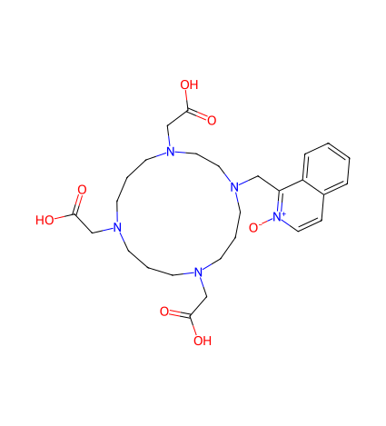 O=C(O)CN1CCCN(CC(=O)O)CCCN(Cc2c3ccccc3cc[n+]2[O-])CCN(CC(=O)O)CCC1